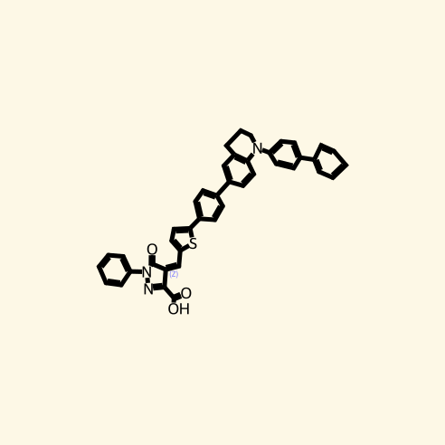 O=C(O)C1=NN(c2ccccc2)C(=O)/C1=C\c1ccc(-c2ccc(-c3ccc4c(c3)CCCN4c3ccc(-c4ccccc4)cc3)cc2)s1